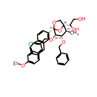 CCOc1ccc(Cc2cc([C@]34OC[C@](C(O)CO)(O3)[C@@H](C)[C@H](OCc3ccccc3)[C@H]4OCc3ccccc3)ccc2Cl)cc1